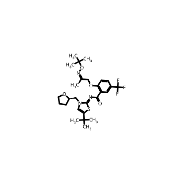 C/C(COc1ccc(C(F)(F)F)cc1C(=O)/N=c1\sc(C(C)(C)C)cn1C[C@H]1CCCO1)=N/OC(C)(C)C